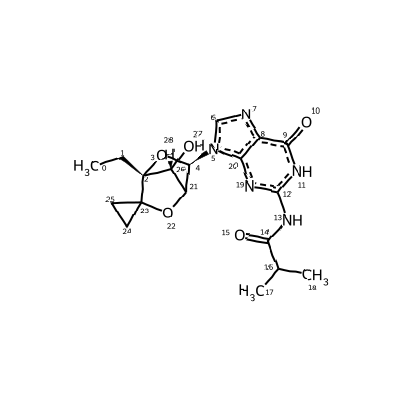 CC[C@]12O[C@@H](n3cnc4c(=O)[nH]c(NC(=O)C(C)C)nc43)C(OC13CC3)[C@H]2O